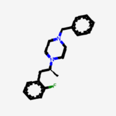 C[C@@H](Cc1ccccc1F)N1CCN(Cc2ccccc2)CC1